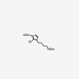 CCCCCCCCCCCCCCn1cc[n+](CCCCCCCCCC)c1CC